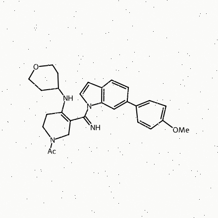 COc1ccc(-c2ccc3ccn(C(=N)C4=C(NC5CCOCC5)CCN(C(C)=O)C4)c3c2)cc1